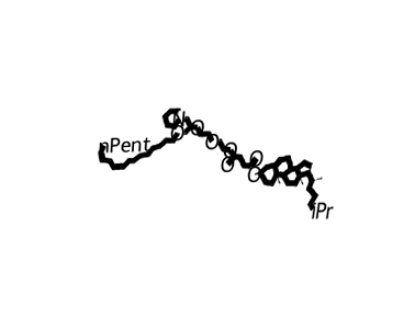 CCCCC/C=C\C/C=C\CCCCCCCCOCC(CN1CCCCC1)OCCOCCOC(=O)CCC(=O)O[C@H]1CC[C@@]2(C)C(=CCC3C2CC[C@@]2(C)C3CC[C@@H]2[C@H](C)CCCC(C)C)C1